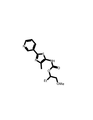 CCC(COC)OC(=O)Nc1sc(-c2cccnc2)nc1C